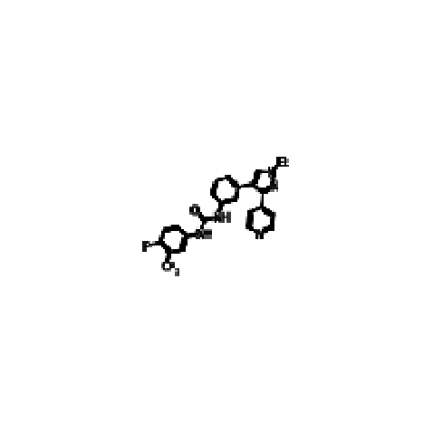 CCn1cc(-c2cccc(NC(=O)Nc3ccc(F)c(C(F)(F)F)c3)c2)c(-c2ccncc2)n1